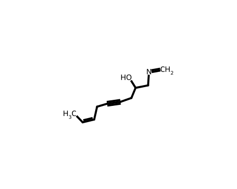 C=NCC(O)CC#CC/C=C\C